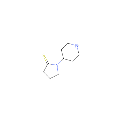 S=C1CCCN1C1CC[N]CC1